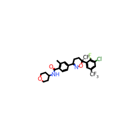 Cc1cc(C2=NO[C@](c3cc(C(F)(F)F)cc(Cl)c3F)(C(F)(F)F)CC2)ccc1C(=O)NC1CCOCC1